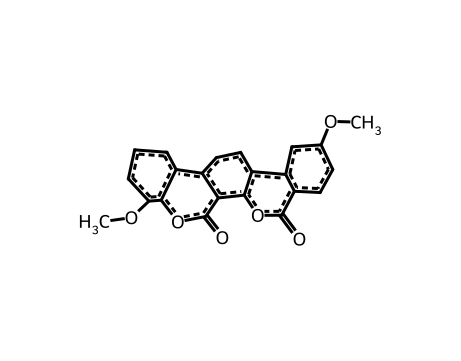 COc1ccc2c(=O)oc3c(ccc4c5cccc(OC)c5oc(=O)c43)c2c1